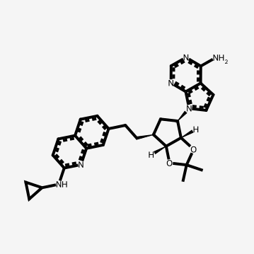 CC1(C)O[C@@H]2[C@@H](CCc3ccc4ccc(NC5CC5)nc4c3)C[C@@H](n3ccc4c(N)ncnc43)[C@@H]2O1